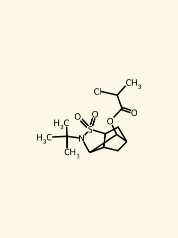 CC(Cl)C(=O)OC1C2CC3C1N(C(C)(C)C)S(=O)(=O)C3C2